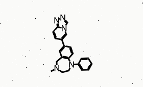 CN1CCN(c2ccccc2)c2ccc(-c3ccc4nncn4c3)cc2C1